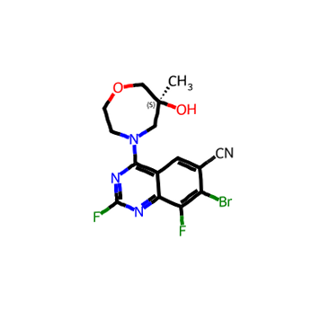 C[C@@]1(O)COCCN(c2nc(F)nc3c(F)c(Br)c(C#N)cc23)C1